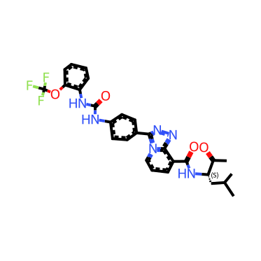 CC(=O)[C@H](CC(C)C)NC(=O)c1cccn2c(-c3ccc(NC(=O)Nc4ccccc4OC(F)(F)F)cc3)nnc12